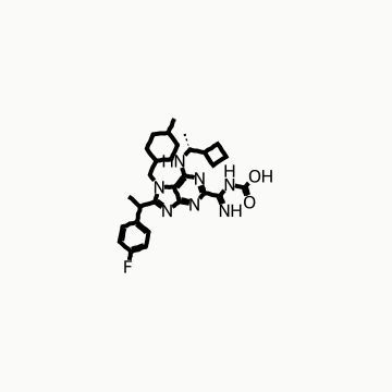 CC1CCC(Cn2c(C(C)c3ccc(F)cc3)nc3nc(C(=N)NC(=O)O)nc(N[C@H](C)C4CCC4)c32)CC1